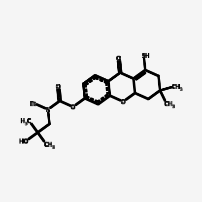 CCN(CC(C)(C)O)C(=O)Oc1ccc2c(c1)OC1CC(C)(C)CC(S)=C1C2=O